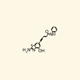 Nc1nc2c(O)cc(C#C/C=C/C(=O)Nc3ccccc3)cc2s1